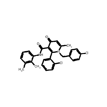 Cc1cccc(NC(=O)c2c(-c3ccccc3Cl)n(Cc3ccc(Cl)cc3)c(C)cc2=O)c1C